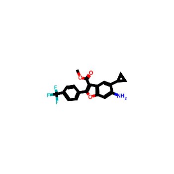 COC(=O)c1c(-c2ccc(C(F)(F)F)cc2)oc2cc(N)c(C3CC3)cc12